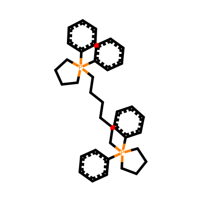 c1ccc(P2(CCCCCCP3(c4ccccc4)(c4ccccc4)CCCC3)(c3ccccc3)CCCC2)cc1